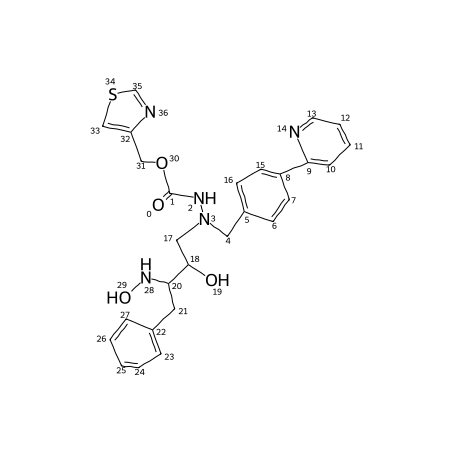 O=C(NN(Cc1ccc(-c2ccccn2)cc1)CC(O)C(Cc1ccccc1)NO)OCc1cscn1